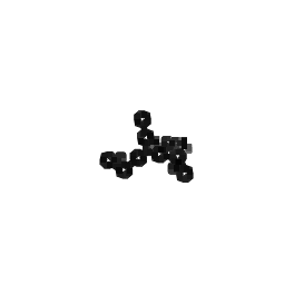 CC1(C)c2cc(N(c3ccc(-c4ccccc4)cc3)c3ccc(-c4cccc5c4oc4ccccc45)cc3)ccc2-c2c1ccc1c2oc2ccccc21